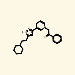 O=C(CN1C=CCC(c2cc(CCC3CCCCC3)[nH]n2)=C1)c1ccccc1